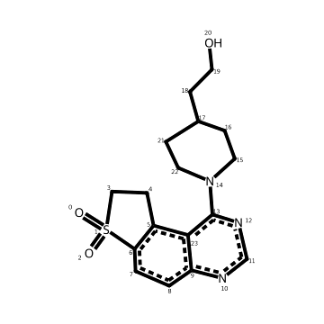 O=S1(=O)CCc2c1ccc1ncnc(N3CCC(CCO)CC3)c21